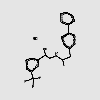 CC(Cc1ccc(-c2ccccc2)cc1)NCC(O)c1cccc(C(F)(F)F)c1.Cl